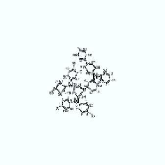 Cc1ccc(N(c2ccc(C)cc2)c2cc(-c3ccc4c5ccccc5n(-c5ccc(-c6ccccc6)cc5)c4c3)cc(N(c3ccc(C)cc3)c3ccc(C)cc3)c2)cc1